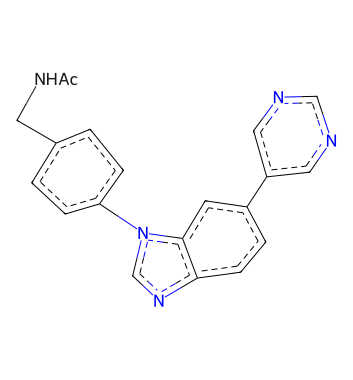 CC(=O)NCc1ccc(-n2cnc3ccc(-c4cncnc4)cc32)cc1